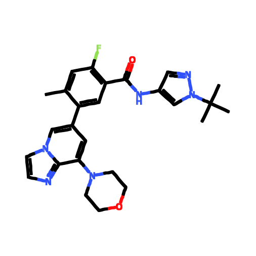 Cc1cc(F)c(C(=O)Nc2cnn(C(C)(C)C)c2)cc1-c1cc(N2CCOCC2)c2nccn2c1